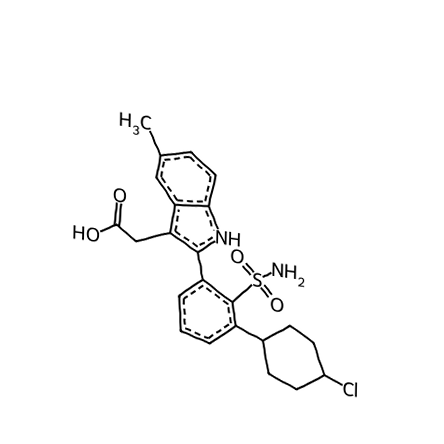 Cc1ccc2[nH]c(-c3cccc(C4CCC(Cl)CC4)c3S(N)(=O)=O)c(CC(=O)O)c2c1